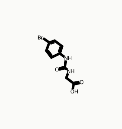 O=C(O)CNC(=O)Nc1ccc(Br)cc1